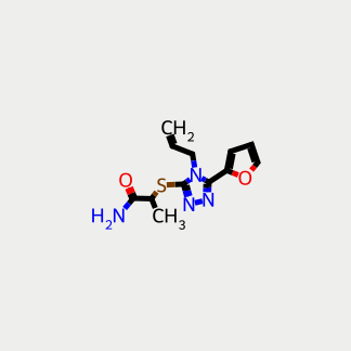 C=CCn1c(SC(C)C(N)=O)nnc1-c1ccco1